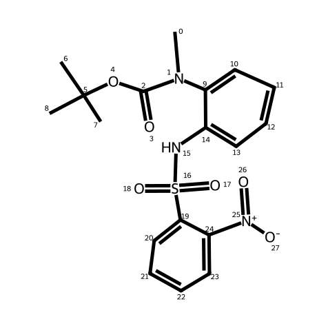 CN(C(=O)OC(C)(C)C)c1ccccc1NS(=O)(=O)c1ccccc1[N+](=O)[O-]